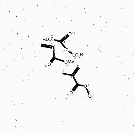 C=C(C)C(=O)OO.C=CC(=O)OC.O=C(O)CC(=O)C(=O)O